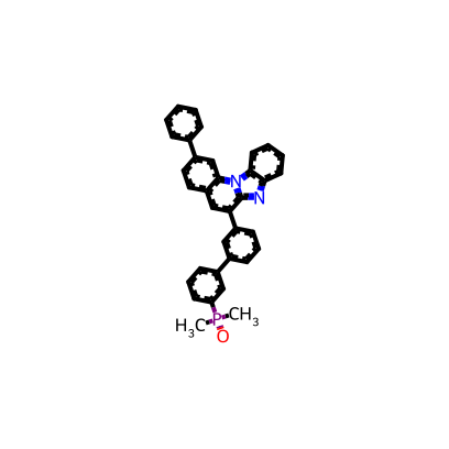 CP(C)(=O)c1cccc(-c2cccc(-c3cc4ccc(-c5ccccc5)cc4n4c3nc3ccccc34)c2)c1